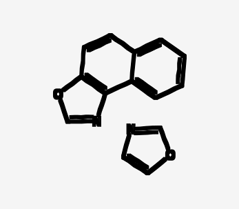 c1ccc2c(c1)ccc1ocnc12.c1cocn1